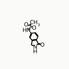 CS(=O)(=O)Nc1ccc2c(c1)CNC2=O